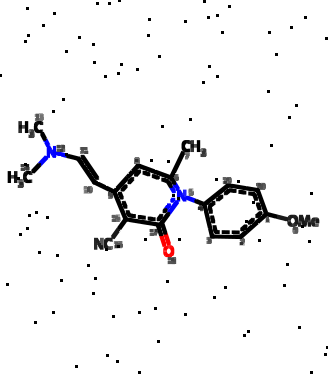 COc1ccc(-n2c(C)cc(C=CN(C)C)c(C#N)c2=O)cc1